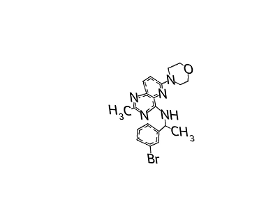 Cc1nc(NC(C)c2cccc(Br)c2)c2nc(N3CCOCC3)ccc2n1